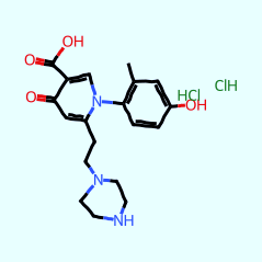 Cc1cc(O)ccc1-n1cc(C(=O)O)c(=O)cc1CCN1CCNCC1.Cl.Cl